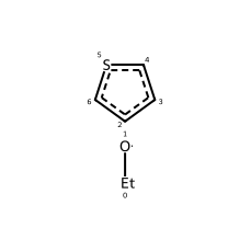 CC[O].c1ccsc1